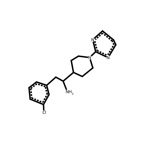 NC(Cc1cccc(Cl)c1)C1CCN(c2ncccn2)CC1